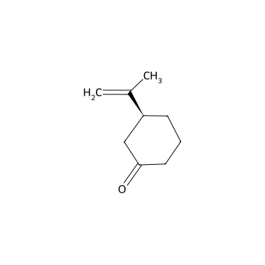 C=C(C)[C@H]1CCCC(=O)C1